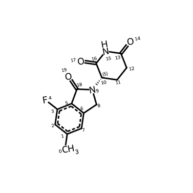 Cc1cc(F)c2c(c1)CN([C@H]1CCC(=O)NC1=O)C2=O